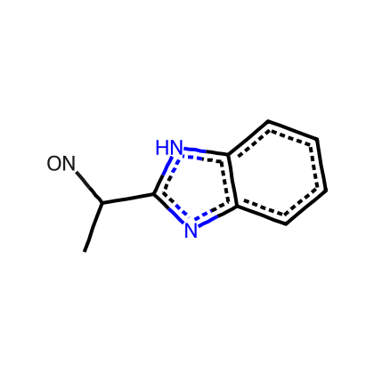 CC(N=O)c1nc2ccccc2[nH]1